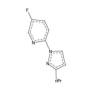 CCCc1ccn(-c2ccc(F)cn2)n1